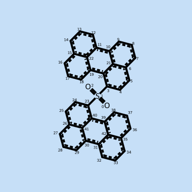 O=S(=O)(c1ccc2cccc3c4cccc5cccc(c1c23)c54)c1ccc2cccc3c4cccc5cccc(c1c23)c54